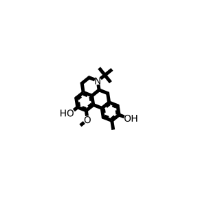 COc1c(O)cc2c3c1-c1cc(C)c(O)cc1CC3N(C(C)(C)C)CC2